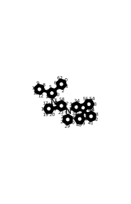 c1ccc(-c2cc(-c3ccccc3)cc(-n3c4ccccc4c4cc(N(c5ccccc5)c5ccc6c(c5)C(c5ccccc5)(c5ccccc5)c5ccccc5-6)ccc43)c2)cc1